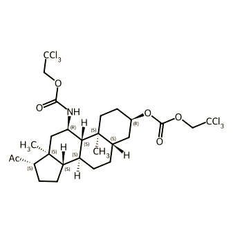 CC(=O)[C@H]1CC[C@H]2[C@@H]3CC[C@H]4C[C@H](OC(=O)OCC(Cl)(Cl)Cl)CC[C@]4(C)[C@H]3[C@H](NC(=O)OCC(Cl)(Cl)Cl)C[C@]12C